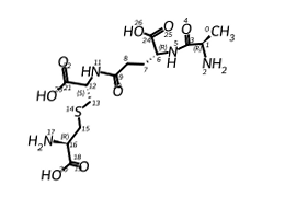 C[C@@H](N)C(=O)N[C@H](CCC(=O)N[C@H](CSC[C@H](N)C(=O)O)C(=O)O)C(=O)O